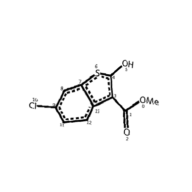 COC(=O)c1c(O)sc2cc(Cl)ccc12